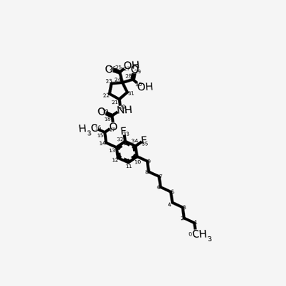 CCCCCCCCCCc1ccc(CC(C)OC(=O)NC2CCC(C(=O)O)(C(=O)O)C2)c(F)c1F